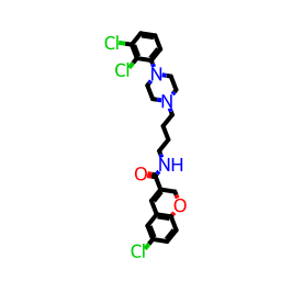 O=C(NCCCCN1CCN(c2cccc(Cl)c2Cl)CC1)C1=Cc2cc(Cl)ccc2OC1